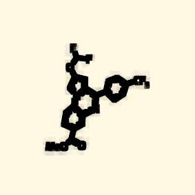 COC(=O)c1ccc2c(c1)nc(-c1ccc(C(F)(F)F)cc1)c1cc(OC(F)F)cn12